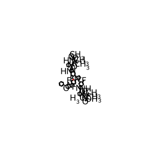 COC(=O)N[C@H](C(=O)N1CCC[C@H]1c1nc2cc([C@H]3CC[C@H](c4cc5nc([C@@H]6CCCN6C(=O)[C@H](C(C)C)N(C)C(=O)O)[nH]c5cc4F)N3c3cc(F)c(N4CCO[C@@H](c5ccccc5)C4)c(F)c3)c(F)cc2[nH]1)C(C)C